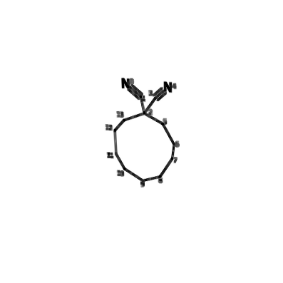 N#CC1(C#N)CCCCCCCCC1